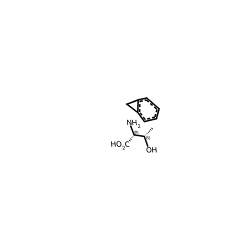 C[C@H](O)[C@@H](N)C(=O)O.c1ccc2c(c1)C2